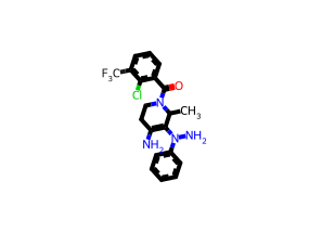 CC1C(N(N)c2ccccc2)=C(N)CCN1C(=O)c1cccc(C(F)(F)F)c1Cl